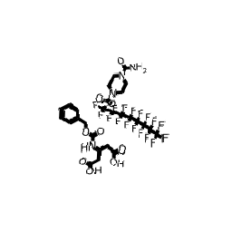 NC(=O)N1CCN(S(=O)(=O)C(F)(F)C(F)(F)C(F)(F)C(F)(F)C(F)(F)C(F)(F)C(F)(F)C(F)(F)F)CC1.O=C(O)CC(CC(=O)O)NC(=O)OCc1ccccc1